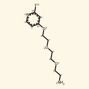 NCCOCCOCCOc1ccnc(F)c1